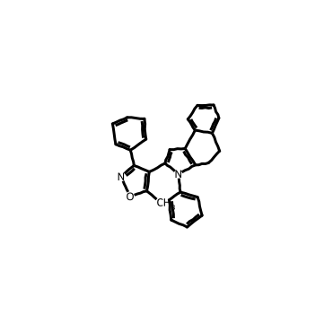 Cc1onc(-c2ccccc2)c1-c1cc2c(n1-c1ccccc1)CCc1ccccc1-2